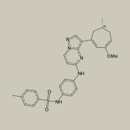 COC1=CC[C@@H](C)CC(c2cnn3ccc(Nc4ccc(NS(=O)(=O)c5ccc(C)cc5)cc4)nc23)=C1